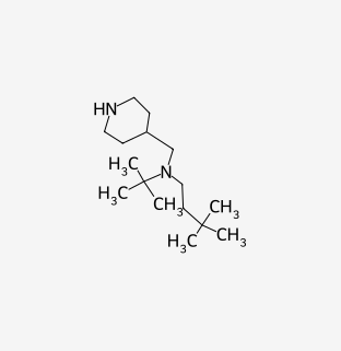 CC(C)(C)CCN(CC1CCNCC1)C(C)(C)C